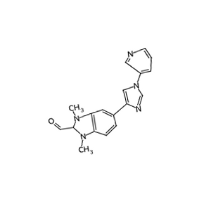 CN1c2ccc(-c3cn(-c4cccnc4)cn3)cc2N(C)C1C=O